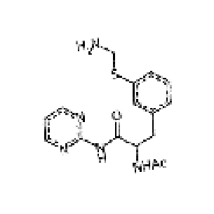 CC(=O)NC(Cc1cccc(SCN)c1)C(=O)Nc1ncccn1